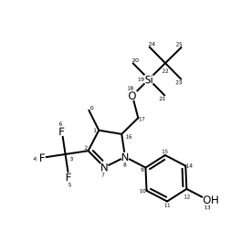 CC1C(C(F)(F)F)=NN(c2ccc(O)cc2)C1CO[Si](C)(C)C(C)(C)C